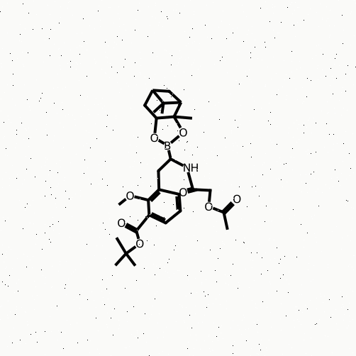 COc1c(CC(NC(=O)COC(C)=O)B2OC3CC4CC(C4(C)C)C3(C)O2)cccc1C(=O)OC(C)(C)C